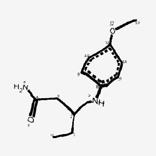 CC[C@@H](CC(N)=O)Nc1ccc(OC)cc1